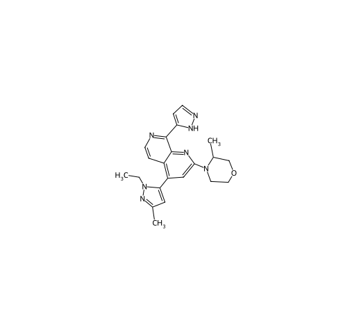 CCn1nc(C)cc1-c1cc(N2CCOCC2C)nc2c(-c3ccn[nH]3)nccc12